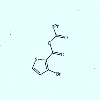 CCCC(=O)OC(=O)c1sccc1Br